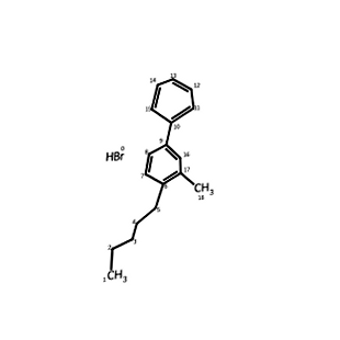 Br.CCCCCc1ccc(-c2ccccc2)cc1C